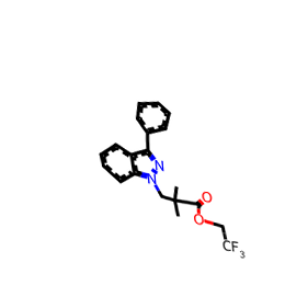 CC(C)(Cn1nc(-c2ccccc2)c2ccccc21)C(=O)OCC(F)(F)F